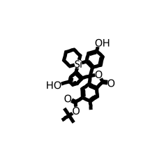 Cc1cc2c(cc1C(=O)OC(C)(C)C)C1(OC2=O)c2ccc(O)cc2[Si]2(CCCCC2)c2cc(O)ccc21